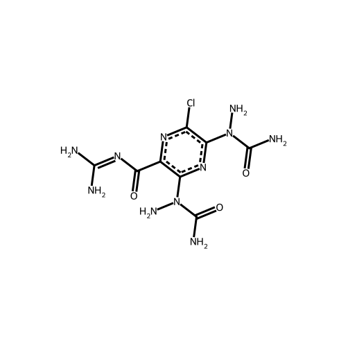 NC(=O)N(N)c1nc(N(N)C(N)=O)c(C(=O)N=C(N)N)nc1Cl